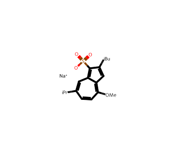 CCC(C)c1cc2c(OC)ccc(C(C)C)cc-2c1S(=O)(=O)[O-].[Na+]